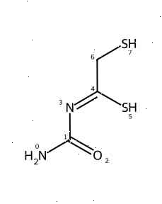 NC(=O)N=C(S)CS